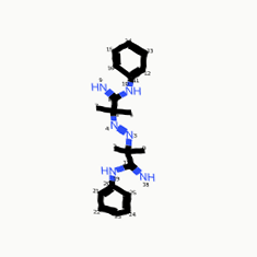 CC(C)(N=NC(C)(C)C(=N)Nc1ccccc1)C(=N)Nc1ccccc1